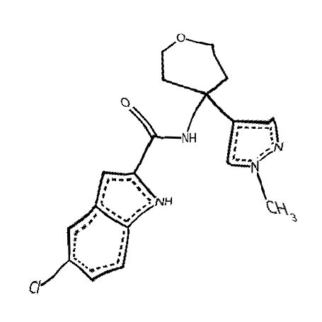 Cn1cc(C2(NC(=O)c3cc4cc(Cl)ccc4[nH]3)CCOCC2)cn1